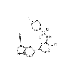 N#Cc1cnn2ccc(-c3cnc(Cl)c(NS(=O)(=O)c4ccc(F)cc4)c3)cc12